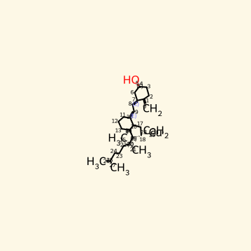 C=C1CC[C@H](O)C/C1=C/C=C1\CCC[C@@]2(C)C1CC[C@@H]2[C@H](C)CCCC(C)C.[CaH2].[Cu]